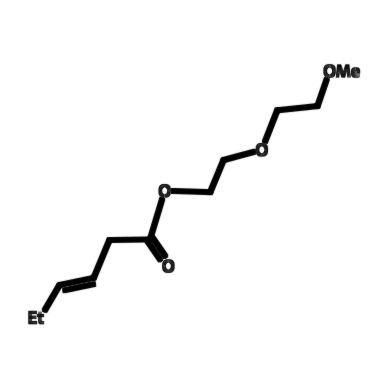 CC/C=C/CC(=O)OCCOCCOC